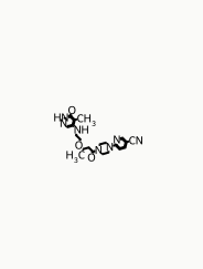 Cc1c(NCCO[C@@H](C)CC(=O)N2CCN(c3ccc(C#N)cn3)CC2)cn[nH]c1=O